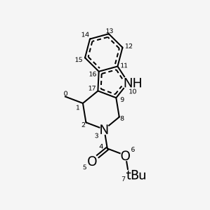 CC1CN(C(=O)OC(C)(C)C)Cc2[nH]c3ccccc3c21